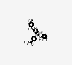 NC(=O)C1CCC(n2c(Nc3c(F)ccc(F)c3F)nc3cnc(NC4CCC(F)(F)CC4)nc32)CC1